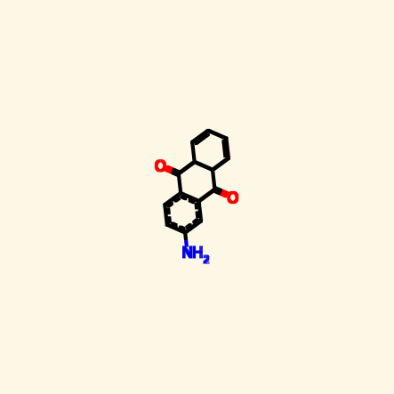 Nc1ccc2c(c1)C(=O)C1C=CC=CC1C2=O